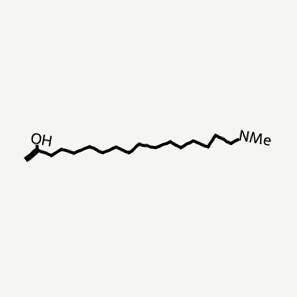 C=C(O)CCCCCCCCCCCCCCCNC